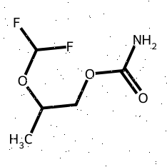 CC(COC(N)=O)OC(F)F